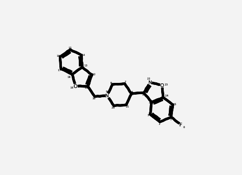 Fc1ccc2c(C3CCN(Cc4cc5ccccc5o4)CC3)noc2c1